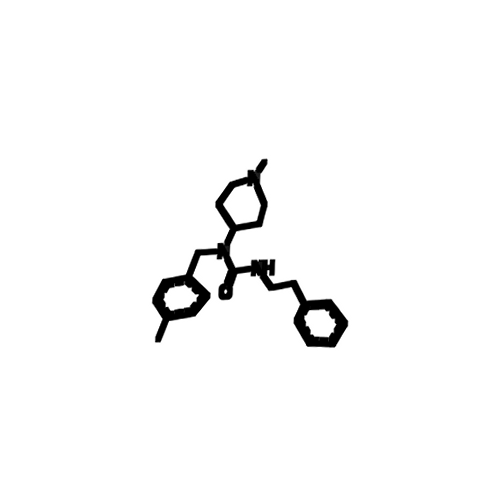 Cc1ccc(CN(C(=O)NCCc2ccccc2)C2CCN(C)CC2)cc1